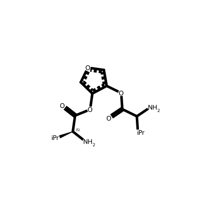 CC(C)C(N)C(=O)Oc1cocc1OC(=O)[C@@H](N)C(C)C